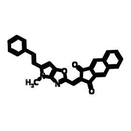 Cn1c(/C=C/c2ccccc2)cc2oc(C=C3C(=O)c4cc5ccccc5cc4C3=O)nc21